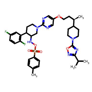 Cc1ccc(S(=O)(=O)ONC2CN(c3ncc(OCC[C@@H](C)C4CCN(c5nc(C(C)C)no5)CC4)cn3)CCC2c2cc(F)ccc2F)cc1